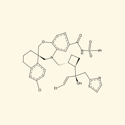 CC/C=C/[C@@](O)(Cc1nccs1)[C@@H]1CC[C@H]1CN1C[C@@]2(CCCc3cc(Cl)ccc32)COc2ccc(C(=O)NS(=O)(=O)C(C)C)cc21